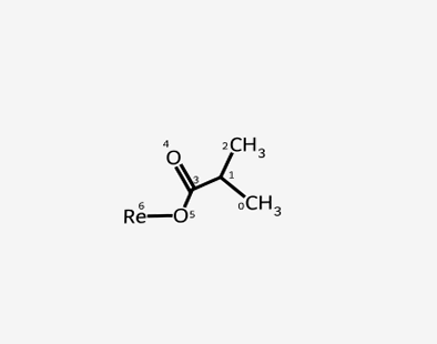 CC(C)C(=O)[O][Re]